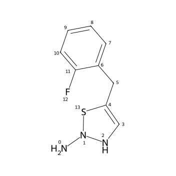 NN1NC=C(Cc2ccccc2F)S1